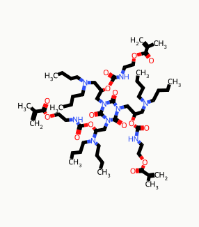 C=C(C)C(=O)OCCNC(=O)OC(CN(CCCC)CCCC)Cn1c(=O)n(CC(CN(CCCC)CCCC)OC(=O)NCCOC(=O)C(=C)C)c(=O)n(CC(OC(=O)NCCOC(=O)C(=C)C)N(CCCC)CCCC)c1=O